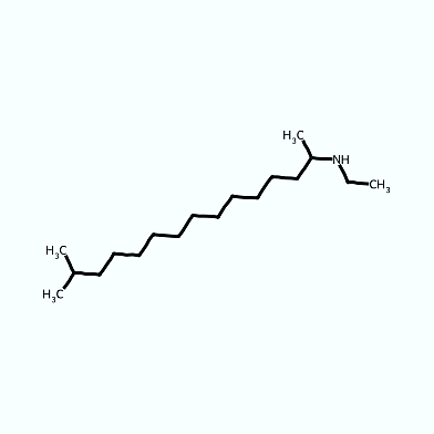 CCNC(C)CCCCCCCCCCCC(C)C